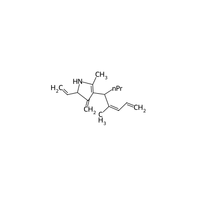 C=C/C=C(/C)C(CCC)C1=C(C)NC(C=C)C1=C